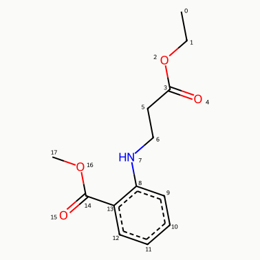 CCOC(=O)CCNc1ccccc1C(=O)OC